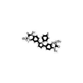 CC(=O)N(C(=O)OC(C)(C)C)c1ccc(C2CCC(c3ccc(N(C(C)=O)C(=O)OC(C)(C)C)c([N+](=O)[O-])c3)N2c2ccc(F)cc2)cc1[N+](=O)[O-]